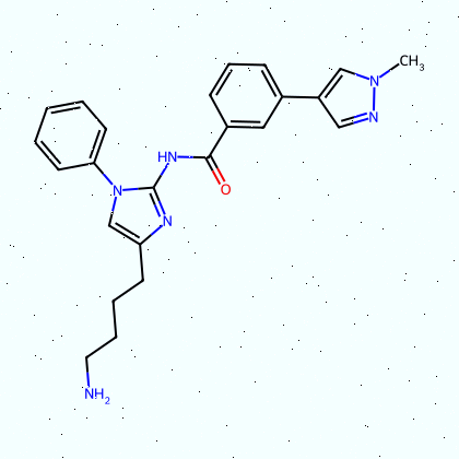 Cn1cc(-c2cccc(C(=O)Nc3nc(CCCCN)cn3-c3ccccc3)c2)cn1